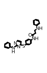 O=C(CCNc1ccccc1)Nc1ccc(Sc2ccnc(Nc3ccccc3)n2)cc1